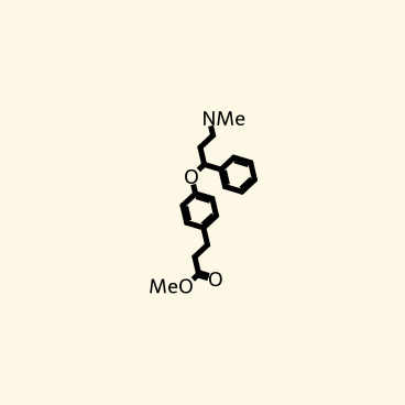 CNCCC(Oc1ccc(CCC(=O)OC)cc1)c1ccccc1